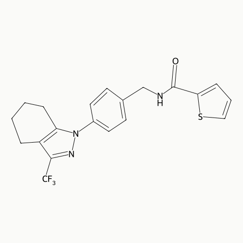 O=C(NCc1ccc(-n2nc(C(F)(F)F)c3c2CCCC3)cc1)c1cccs1